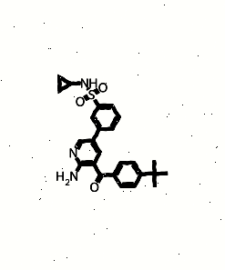 CC(C)(C)c1ccc(C(=O)c2cc(-c3cccc(S(=O)(=O)NC4CC4)c3)cnc2N)cc1